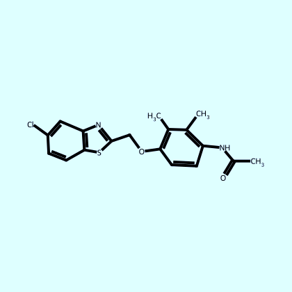 CC(=O)Nc1ccc(OCc2nc3cc(Cl)ccc3s2)c(C)c1C